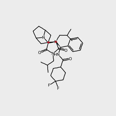 CC(C)CN1C(=O)N(CC(C)C)C2(CC3CCC(C2)N3CC[C@H](NC(=O)C2CCC(F)(F)CC2)c2ccccc2)C1=O